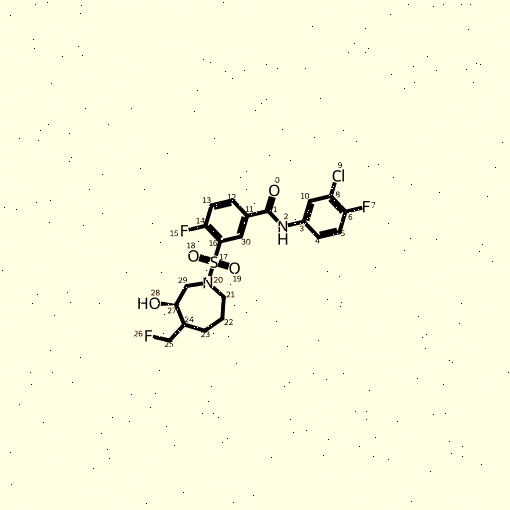 O=C(Nc1ccc(F)c(Cl)c1)c1ccc(F)c(S(=O)(=O)N2CCCC(CF)[C@@H](O)C2)c1